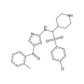 Cc1ccccc1C(=O)c1cnc(NC(C2CCNCC2)S(=O)(=O)c2ccc(Cl)cc2)s1